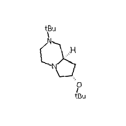 CC(C)(C)O[C@H]1C[C@@H]2CN(C(C)(C)C)CCN2C1